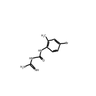 Cc1cc(Br)ccc1NC(=O)NC(=N)N